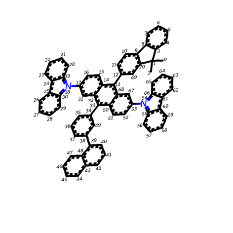 CC1(C)c2ccccc2-c2ccc(-c3c4ccc(-n5c6ccccc6c6ccccc65)cc4c(-c4cccc(-c5cccc6ccccc56)c4)c4ccc(-n5c6ccccc6c6ccccc65)cc34)cc21